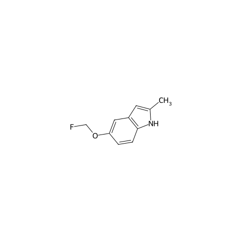 Cc1cc2cc(OCF)ccc2[nH]1